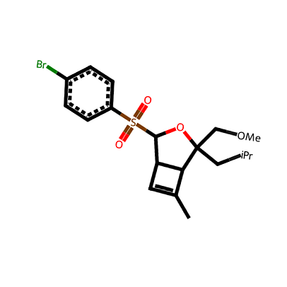 COCC1(CC(C)C)OC(S(=O)(=O)c2ccc(Br)cc2)C2C=C(C)C21